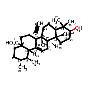 C#C[C@@]12CC[C@@]3(C(=O)O)CC[C@@H](C)[C@H](C)[C@H]3C1=CC[C@@H]1[C@@]3(C)CC[C@H](O)C(C)(C)C3CC[C@]12C